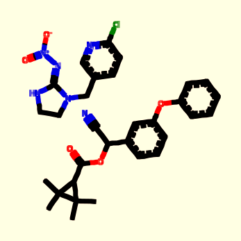 CC1(C)C(C(=O)OC(C#N)c2cccc(Oc3ccccc3)c2)C1(C)C.O=[N+]([O-])/N=C1\NCCN1Cc1ccc(Cl)nc1